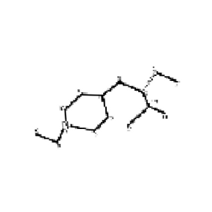 CC[C@@H](CC1CCN(CC)CC1)C(C)C